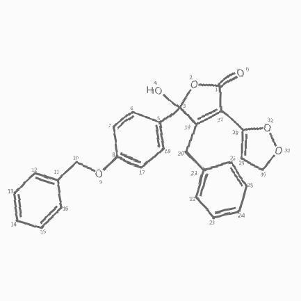 O=C1OC(O)(c2ccc(OCc3ccccc3)cc2)C(Cc2ccccc2)=C1C1=CCOO1